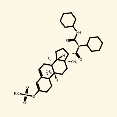 C[C@]12CC[C@H]3[C@@H](CC=C4C=C(OS(=O)(=O)C(F)(F)F)CC[C@@]43C)[C@@H]1CC[C@@H]2C(=O)N(C(=S)NC1CCCCC1)C1CCCCC1